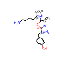 C[C@@H](NC(=O)[C@H](N)Cc1ccc(O)cc1)C(=O)N[C@H](CCCCN)C(=O)O